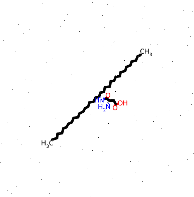 CCCCCCCCCCCCCCCCCCC(CCCCCCCCCCCCCCCCC)NC(=O)[C@@H](N)CC(=O)O